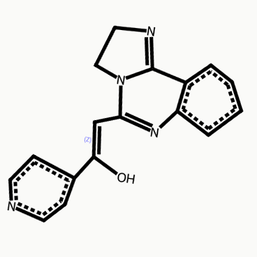 O/C(=C\C1=Nc2ccccc2C2=NCCN12)c1ccncc1